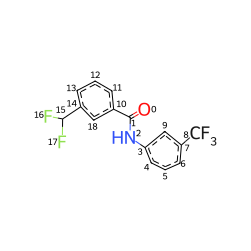 O=C(Nc1cccc(C(F)(F)F)c1)c1cccc(C(F)F)c1